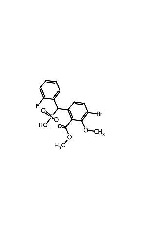 COC(=O)c1c(C(c2ccccc2F)S(=O)(=O)O)ccc(Br)c1OC